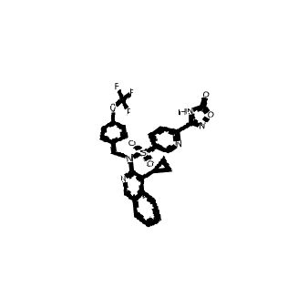 O=c1[nH]c(-c2ccc(S(=O)(=O)N(Cc3ccc(OC(F)(F)F)cc3)c3ncc4ccccc4c3C3CC3)cn2)no1